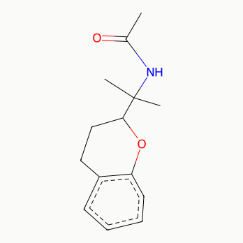 CC(=O)NC(C)(C)C1CCc2ccccc2O1